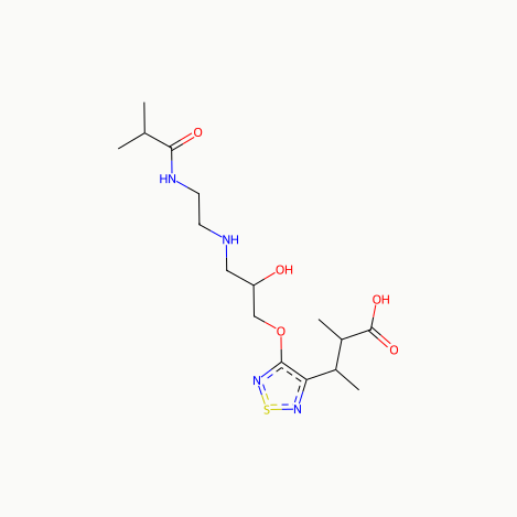 CC(C)C(=O)NCCNCC(O)COc1nsnc1C(C)C(C)C(=O)O